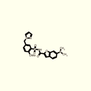 COc1ccc(Cn2cccn2)cc1S(=O)(=O)NC(=O)c1cc2ccc(N(C)C)cc2o1